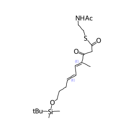 CC(=O)NCCSC(=O)CC(=O)/C(C)=C/C=C/CCCO[Si](C)(C)C(C)(C)C